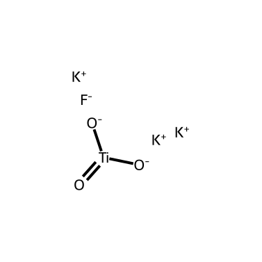 [F-].[K+].[K+].[K+].[O]=[Ti]([O-])[O-]